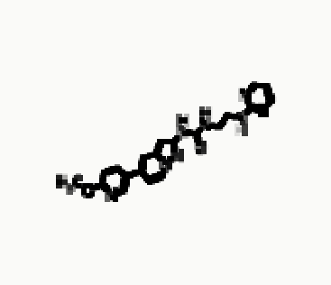 COc1ccc(-c2ccn3nc(NC(=O)NCCNc4ncccn4)cc3c2)cn1